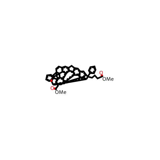 COC(=O)CCCC1(c2ccccc2)c2cc3cc4c5c6c(cc7c8c6c6c9c%10c%11c(c1c2c1c3c5c6c%111)CC%10=CC1(C=C7)C(CCCC(=O)OC)(c2ccccc2)C891)C4